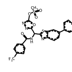 CS(=O)(=O)Oc1nnc(C(NC(=O)c2ccc(C(F)(F)F)cc2)c2nc3ccc(-c4ccccc4)cc3s2)o1